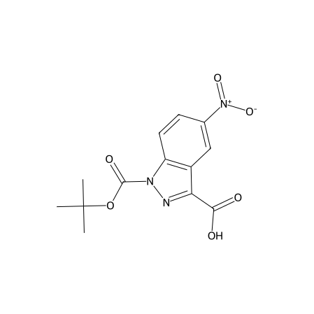 CC(C)(C)OC(=O)n1nc(C(=O)O)c2cc([N+](=O)[O-])ccc21